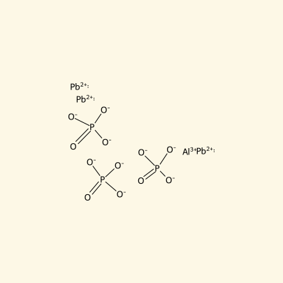 O=P([O-])([O-])[O-].O=P([O-])([O-])[O-].O=P([O-])([O-])[O-].[Al+3].[Pb+2].[Pb+2].[Pb+2]